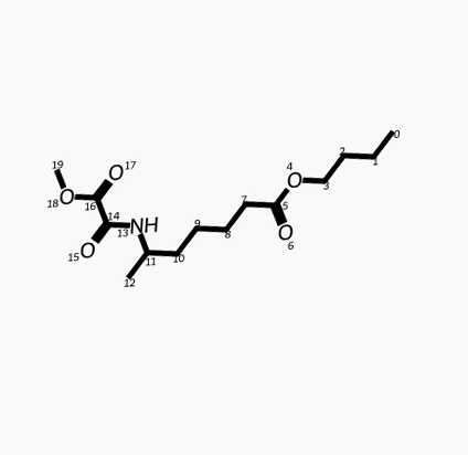 CCCCOC(=O)CCCCC(C)NC(=O)C(=O)OC